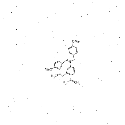 C=CCc1cc(N(Cc2ccc(OC)cc2)Cc2ccc(OC)cc2)ncc1C(=C)C